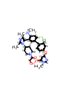 C=Nc1cc(F)c(-c2ccc(Oc3cc(=O)n(C)cn3)cc2Cl)cc1-c1c(C)nc(C)n1C1CCN(C(=O)CO)CC1